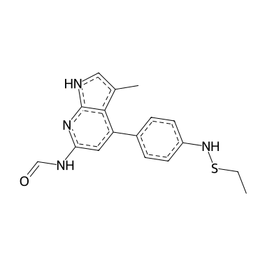 CCSNc1ccc(-c2cc(NC=O)nc3[nH]cc(C)c23)cc1